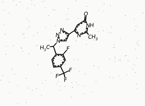 Cc1nc(-c2cn(C(C)c3ccc(C(F)(F)F)cc3F)nn2)cc(=O)[nH]1